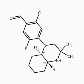 CC1(C)CN(c2cc(Cl)c(C=O)cc2F)[C@@H]2CCCC[C@H]2N1